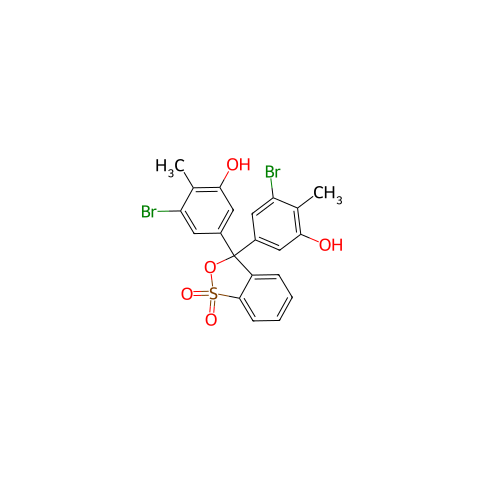 Cc1c(O)cc(C2(c3cc(O)c(C)c(Br)c3)OS(=O)(=O)c3ccccc32)cc1Br